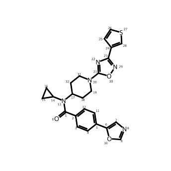 O=C(c1ccc(-c2cnco2)cc1)N(C1CC1)C1CCN(c2nc(-c3ccsc3)no2)CC1